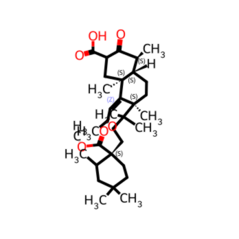 COC(=O)[C@]1(CCC(C)(C)[C@]2(C)CC[C@H]3[C@H](C)C(=O)C(C(=O)O)C[C@]3(C)/C2=C/C(C)=O)CCC(C)(C)CC1C